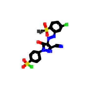 CS(=O)(=O)c1ccc(Cl)cc1/N=N/c1c(C#N)[nH]n(-c2ccc(S(=O)(=O)Cl)cc2)c1=O